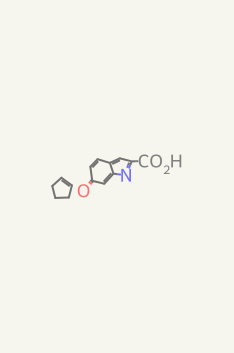 C1=CCCC1.O=C1C=CC2=CC(C(=O)O)=NC2=C1